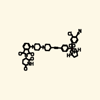 N#Cc1ccc(O[C@H]2C[C@H]3CC[C@@H](C2)N3C(=O)c2ccc(C#CC3CCN(C4CCN(c5cccc6c5C(=O)N(C5CCC(=O)NC5=O)C6=O)CC4)CC3)cc2)cc1Cl